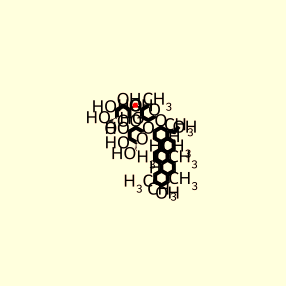 C[C@@H]1O[C@@H](O[C@H]2CC[C@]3(C)[C@H]4CC=C5[C@@H]6CC(C)(C)[C@H](O)C[C@]6(C)CC[C@@]5(C)[C@]4(C)CC[C@H]3C2(C)CO)[C@H](O[C@@H]2O[C@H](CO)[C@H](O)[C@H](O)[C@H]2O[C@@H]2O[C@H](C(=O)O)[C@@H](O)[C@H](O)[C@H]2O)[C@H](O)[C@H]1O